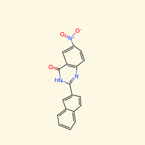 O=c1[nH]c(-c2ccc3ccccc3c2)nc2ccc([N+](=O)[O-])cc12